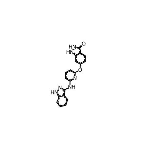 O=c1[nH][nH]c2cc(Oc3cccc(Nc4n[nH]c5ccccc45)n3)ccc12